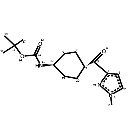 Cn1ccc(C(=O)[C@H]2CC[C@H](NC(=O)OC(C)(C)C)CC2)n1